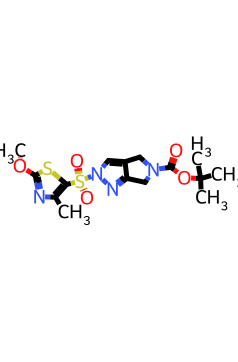 COc1nc(C)c(S(=O)(=O)n2cc3c(n2)CN(C(=O)OC(C)(C)C)C3)s1